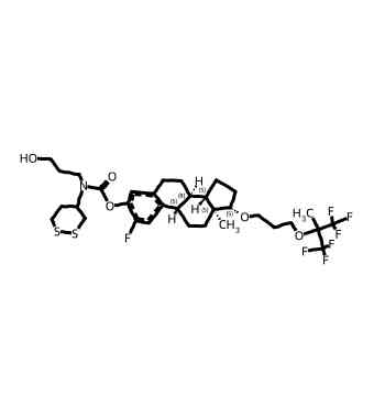 CC(OCCCO[C@H]1CC[C@H]2[C@@H]3CCc4cc(OC(=O)N(CCCO)C5CCSSC5)c(F)cc4[C@H]3CC[C@]12C)(C(F)(F)F)C(F)(F)F